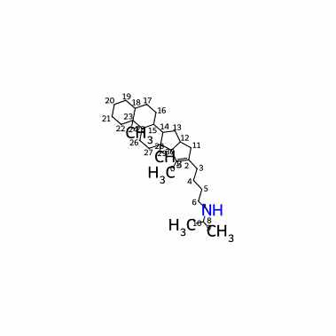 CC1=C(CCCCNC(C)C)CC2CC3C4CCC5CCCCC5(C)C4CCC3(C)C12